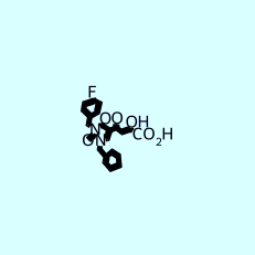 O=C(O)/C(O)=C/C(=O)c1cn(Cc2ccccc2)c(=O)n(Cc2ccc(F)cc2)c1=O